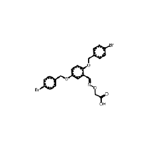 O=C(O)CON=Cc1cc(OCc2ccc(Br)cc2)ccc1OCc1ccc(Br)cc1